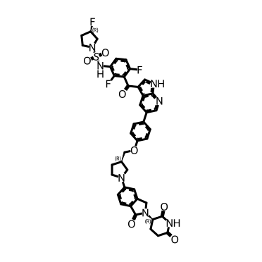 O=C1CC[C@@H](N2Cc3cc(N4CC[C@@H](COc5ccc(-c6cnc7[nH]cc(C(=O)c8c(F)ccc(NS(=O)(=O)N9CC[C@@H](F)C9)c8F)c7c6)cc5)C4)ccc3C2=O)C(=O)N1